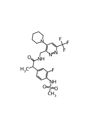 CC(C(=O)NCc1nnc(C(F)(F)F)cc1N1CCCCC1)c1ccc(NS(C)(=O)=O)c(F)c1